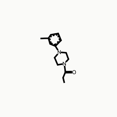 CCC(=O)N1CCN(c2cccc(C)c2)CC1